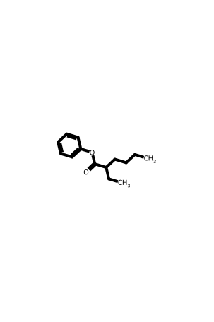 CCCCC(CC)C(=O)Oc1ccccc1